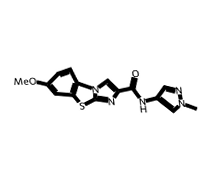 COc1ccc2c(c1)sc1nc(C(=O)Nc3cnn(C)c3)cn12